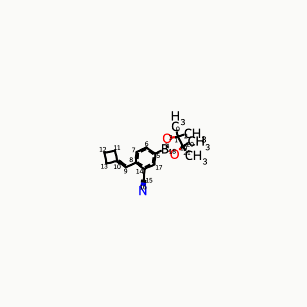 CC1(C)OB(c2ccc(C=C3CCC3)c(C#N)c2)OC1(C)C